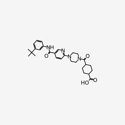 CC(C)(C)c1cccc(NC(=O)c2ccc(N3CCN(C(=O)C4CCC(C(=O)O)CC4)CC3)nc2)c1